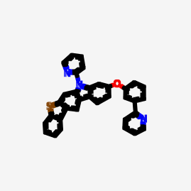 c1ccc(-c2cccc(Oc3ccc4c5cc6c(cc5n(-c5ccccn5)c4c3)sc3ccccc36)c2)nc1